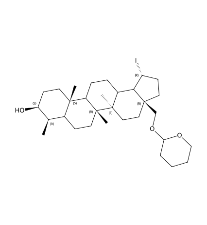 C[C@@H]1C2CC[C@]3(C)C(CCC4C5[C@H](I)CC[C@]5(COC5CCCCO5)CC[C@]43C)[C@@]2(C)CC[C@@H]1O